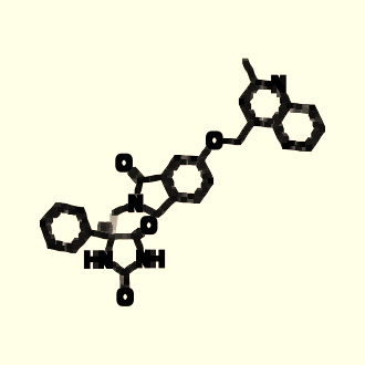 Cc1cc(COc2ccc3c(c2)C(=O)N(C[C@@]2(c4ccccc4)NC(=O)NC2=O)C3)c2ccccc2n1